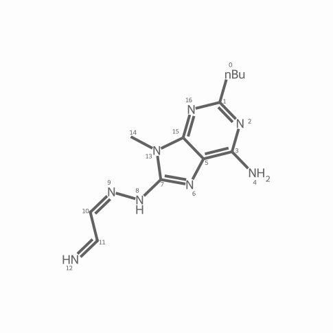 CCCCc1nc(N)c2nc(N/N=C\C=N)n(C)c2n1